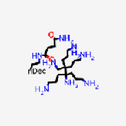 CCCCCCCCCCCCNC(=O)CCC(N)=O.NCCCC(N)(CCCN)C(CN)(CCCN)CCCN